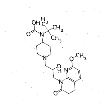 COc1ccc2c(n1)N(CC(O)CN1CCC(N(C(=O)O)C(C)(C)C)CC1)C(=O)CC2